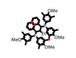 CCC(C(c1ccccc1)P(c1cc(C)c(OC)c(C)c1)c1cc(C)c(OC)c(C)c1)C(c1ccccc1)P(c1cc(C)c(OC)c(C)c1)c1cc(C)c(OC)c(C)c1